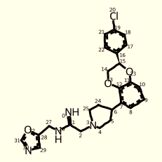 N=C(CN1CCC(c2cccc3c2OC[C@@H](c2ccc(Cl)cc2)O3)CC1)NCc1cnco1